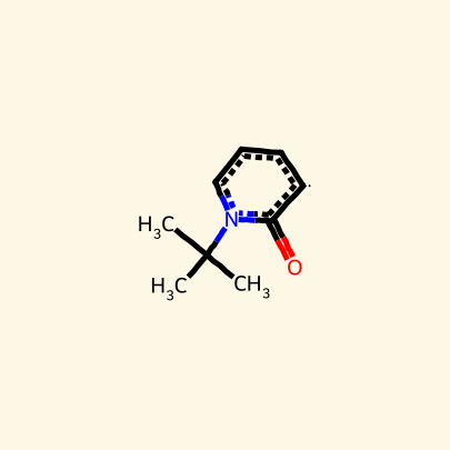 CC(C)(C)n1ccc[c]c1=O